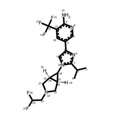 CC(C)c1nc(-c2cnc(N)c(C(F)(F)F)c2)cn1C1[C@H]2CN(CC(F)F)C[C@@H]12